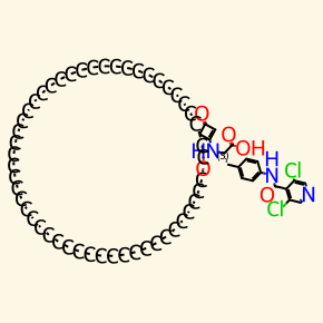 O=C(Nc1ccc(C[C@H](NC2=CC(=O)C23CCCCCCCCCCCCCCCCCCCCCCCCCCCCCCCCCCCCCCCCCCCCCCCCOCC3)C(=O)O)cc1)c1c(Cl)cncc1Cl